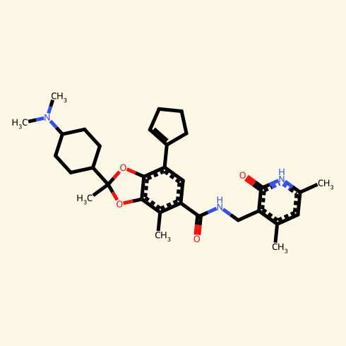 Cc1cc(C)c(CNC(=O)c2cc(C3=CCCC3)c3c(c2C)OC(C)(C2CCC(N(C)C)CC2)O3)c(=O)[nH]1